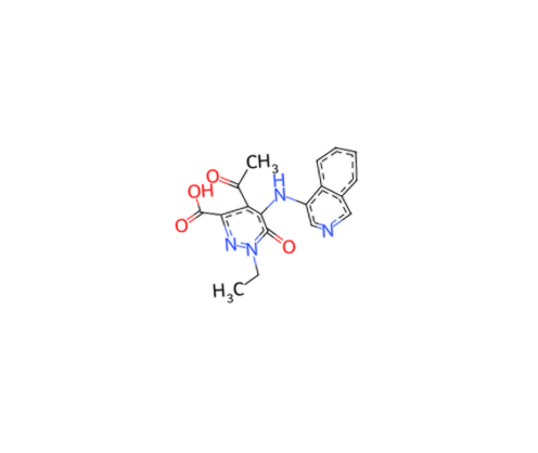 CCn1nc(C(=O)O)c(C(C)=O)c(Nc2cncc3ccccc23)c1=O